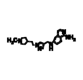 CN1CCC(CCn2cc(CNc3ccc4c(N)nccc4c3)cn2)CC1